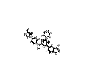 Cc1ncn(-c2ccc(Nc3cc(-c4ccc5cnn(C)c5c4)nc(N4CCOCC4)n3)cc2)n1